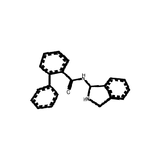 O=C(NC1NCc2ccccc21)c1ccccc1-c1ccccc1